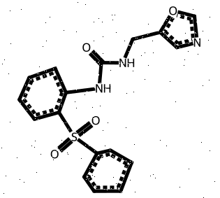 O=C(NCc1cnco1)Nc1ccccc1S(=O)(=O)c1ccccc1